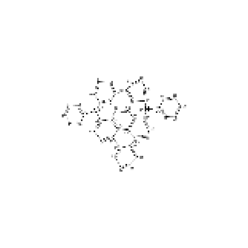 c1ccc(N(c2ccccc2)c2ccc3c4ccccc4c4ccc(N(c5ccccc5)c5ccccc5)c5ccc2c3c54)cc1